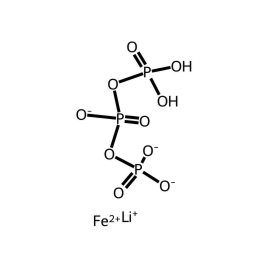 O=P([O-])([O-])OP(=O)([O-])OP(=O)(O)O.[Fe+2].[Li+]